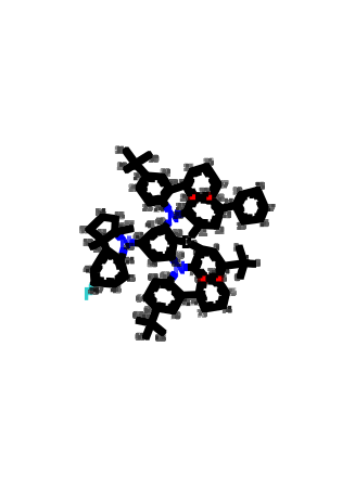 CC(C)(C)c1ccc2c(c1)B1c3cc(-c4ccccc4)ccc3N(c3ccc(C(C)(C)C)cc3-c3ccccc3)c3cc(N4c5ccc(F)cc5C5(C)CCCC45C)cc(c31)N2c1ccc(C(C)(C)C)cc1-c1ccccc1